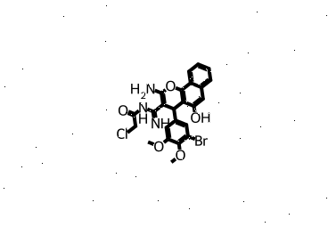 COc1cc(C2C(C(=N)NC(=O)CCl)=C(N)Oc3c2c(O)cc2ccccc32)cc(Br)c1OC